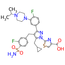 CC(C)N1CCN(c2cc(-c3nn(-c4nc(C(=O)O)cs4)c(CC4CC4)c3Cc3ccc(S(N)(=O)=O)c(F)c3)ccc2F)CC1